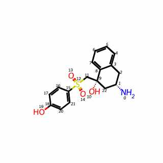 N[C@H]1Cc2ccccc2[C@](O)(CS(=O)(=O)c2ccc(O)cc2)C1